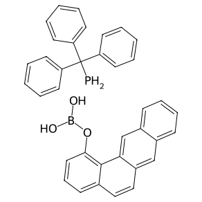 OB(O)Oc1cccc2ccc3cc4ccccc4cc3c12.PC(c1ccccc1)(c1ccccc1)c1ccccc1